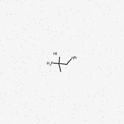 CCCCC(C)(C)P.I